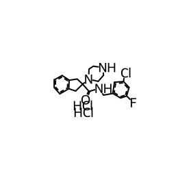 Cl.Cl.O=C(NCc1cc(F)cc(Cl)c1)C1(N2CCNCC2)Cc2ccccc2C1